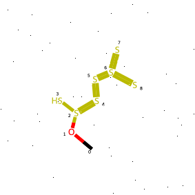 COS(S)=S=S=S(=S)=S